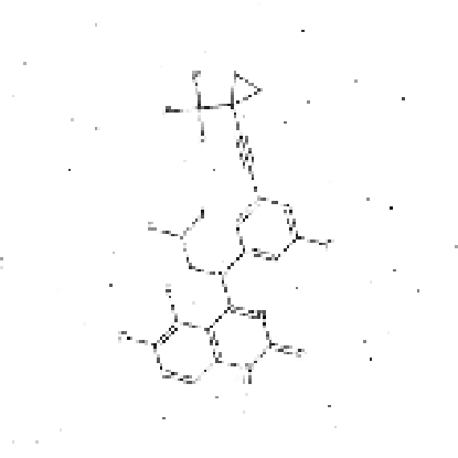 O=c1nc(N(CC(F)F)c2cc(F)cc(C#CC3(C(F)(F)F)CC3)c2)c2c(F)c(F)ccc2[nH]1